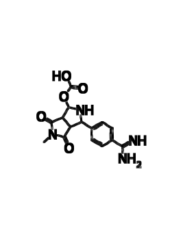 CN1C(=O)C2C(OC(=O)O)NC(c3ccc(C(=N)N)cc3)C2C1=O